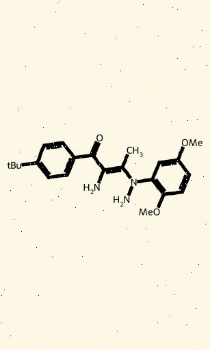 COc1ccc(OC)c(N(N)/C(C)=C(\N)C(=O)c2ccc(C(C)(C)C)cc2)c1